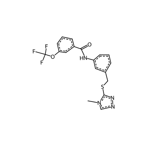 Cn1cnnc1SCc1cccc(NC(=O)c2cccc(OC(F)(F)F)c2)c1